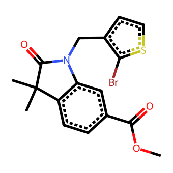 COC(=O)c1ccc2c(c1)N(Cc1ccsc1Br)C(=O)C2(C)C